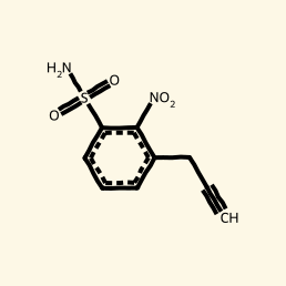 C#CCc1cccc(S(N)(=O)=O)c1[N+](=O)[O-]